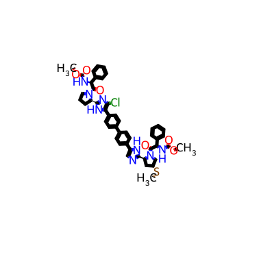 COC(=O)NC(C(=O)N1C[C@@H](SC)C[C@H]1c1ncc(-c2ccc(-c3ccc(-c4[nH]c([C@@H]5CCCN5C(=O)[C@@H](NC(=O)OC)c5ccccc5)nc4Cl)cc3)cc2)[nH]1)c1ccccc1